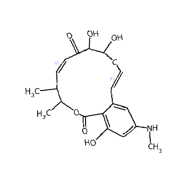 CNc1cc(O)c2c(c1)/C=C/CC(O)C(O)C(=O)/C=C\C(C)C(C)OC2=O